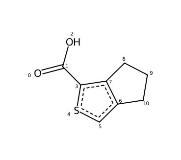 O=C(O)c1scc2c1CCC2